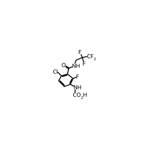 O=C(O)Nc1ccc(Cl)c(C(=O)NCC(F)(F)C(F)(F)F)c1F